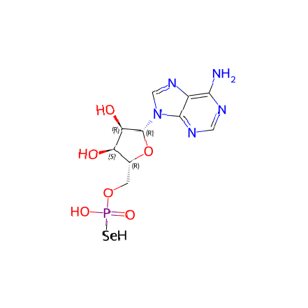 Nc1ncnc2c1ncn2[C@@H]1O[C@H](COP(=O)(O)[SeH])[C@@H](O)[C@H]1O